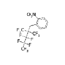 O=[N+]([O-])c1ccccc1CC(C(F)(F)F)(C(F)(F)F)C(F)(F)C(F)(F)C(F)(F)F